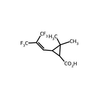 CC1(C)C(C=C(C(F)(F)F)C(F)(F)F)C1C(=O)O